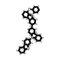 c1ccc2c(c1)Oc1cccc3c4cc(-c5ccc6c(c5)c5ccccc5n6-c5ccc6c(c5)oc5ccccc56)ccc4n-2c13